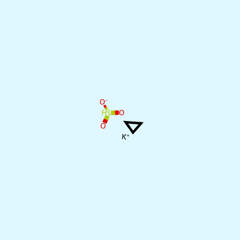 C1CC1.O=[SH](=O)[O-].[K+]